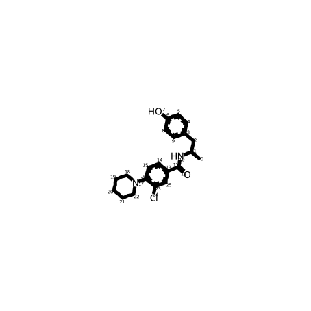 CC(Cc1ccc(O)cc1)NC(=O)c1ccc(N2CCCCC2)c(Cl)c1